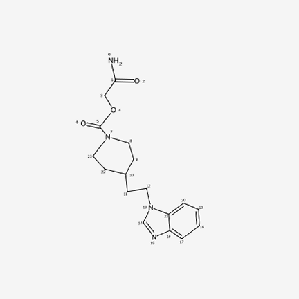 NC(=O)COC(=O)N1CCC(CCn2cnc3ccccc32)CC1